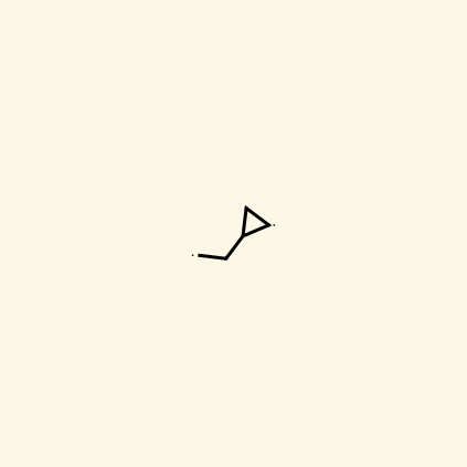 [CH2]CC1[CH]C1